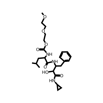 COCCOCCOC(=O)NC(CC(C)C)C(=O)NC(Cc1ccccc1)C(O)C(=O)NC1CC1